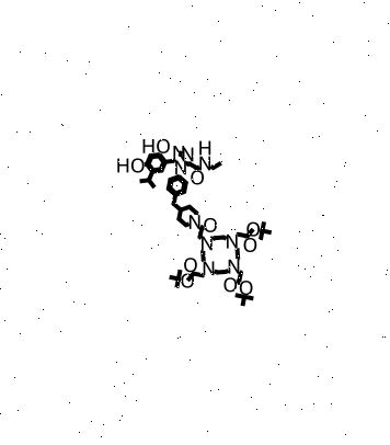 CCNC(=O)c1nnc(-c2cc(C(C)C)c(O)cc2O)n1-c1ccc(CC2CCN(C(=O)CN3CCN(CC(=O)OC(C)(C)C)CCN(CC(=O)OC(C)(C)C)CCN(CC(=O)OC(C)(C)C)CC3)CC2)cc1